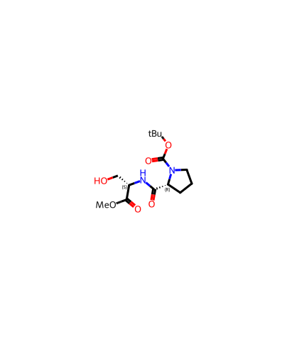 COC(=O)[C@H](CO)NC(=O)[C@H]1CCCN1C(=O)OC(C)(C)C